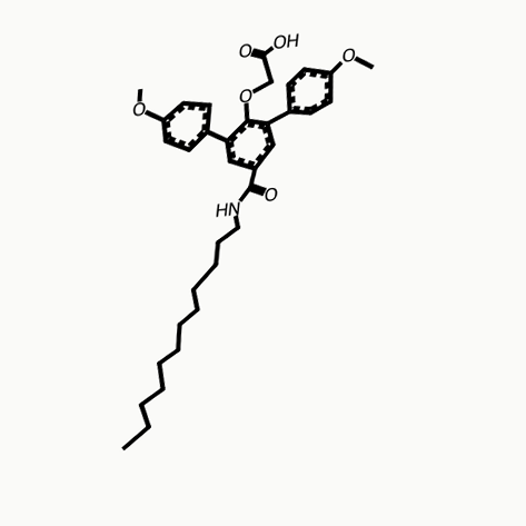 CCCCCCCCCCCCNC(=O)c1cc(-c2ccc(OC)cc2)c(OCC(=O)O)c(-c2ccc(OC)cc2)c1